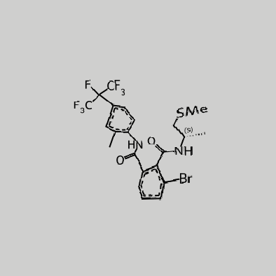 CSC[C@H](C)NC(=O)c1c(Br)cccc1C(=O)Nc1ccc(C(F)(C(F)(F)F)C(F)(F)F)cc1C